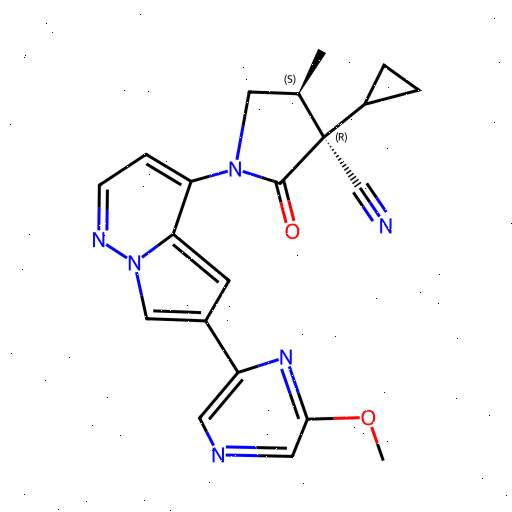 COc1cncc(-c2cc3c(N4C[C@@H](C)[C@@](C#N)(C5CC5)C4=O)ccnn3c2)n1